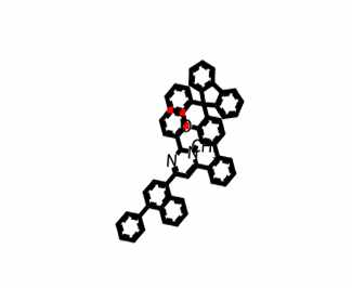 CN1C(c2ccccc2-c2ccc3c(c2)Oc2ccccc2C32c3ccccc3-c3ccccc32)=CC(c2ccc(-c3ccccc3)c3ccccc23)=NC1c1ccccc1